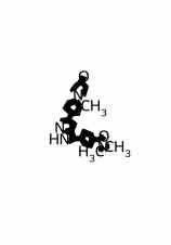 Cc1cc(-c2cnc3[nH]cc(-c4ccc(C(=O)N(C)C)cc4)c3c2)ccc1N1CCC(=O)CC1